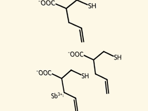 C=CCC(CS)C(=O)[O-].C=CCC(CS)C(=O)[O-].C=CCC(CS)C(=O)[O-].[Sb+3]